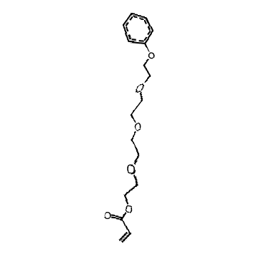 C=CC(=O)OCCOCCOCCOCCOc1ccccc1